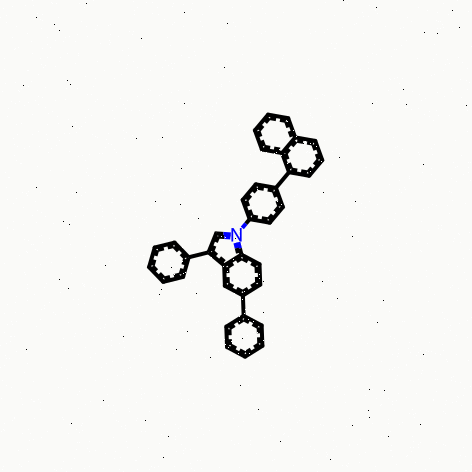 c1ccc(-c2ccc3c(c2)c(-c2ccccc2)cn3-c2ccc(-c3cccc4ccccc34)cc2)cc1